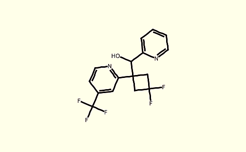 OC(c1ccccn1)C1(c2cc(C(F)(F)F)ccn2)CC(F)(F)C1